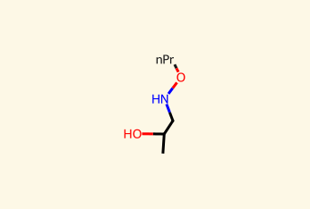 CCCONCC(C)O